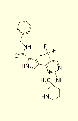 CC1(Nc2ncc(C(F)(F)F)c(-c3c[nH]c(C(=O)NCc4ccccc4)c3)n2)CCCNC1